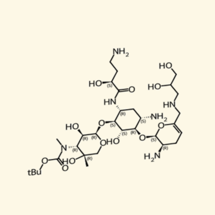 CN(C(=O)OC(C)(C)C)[C@@H]1[C@@H](O)[C@@H](O[C@@H]2[C@@H](O)[C@H](O[C@H]3OC(CNCC(O)CO)=CC[C@H]3N)[C@@H](N)C[C@H]2NC(=O)[C@@H](O)CCN)OC[C@]1(C)O